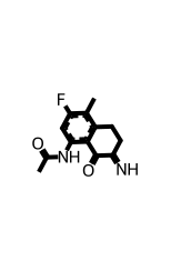 CC(=O)Nc1cc(F)c(C)c2c1C(=O)C(=N)CC2